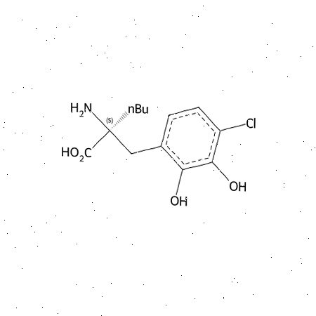 CCCC[C@](N)(Cc1ccc(Cl)c(O)c1O)C(=O)O